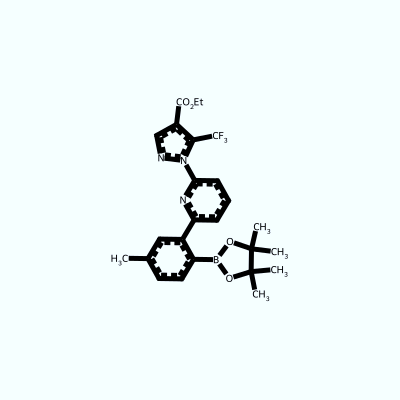 CCOC(=O)c1cnn(-c2cccc(-c3cc(C)ccc3B3OC(C)(C)C(C)(C)O3)n2)c1C(F)(F)F